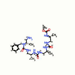 C[C@H](CNC(=O)N(Cc1ccccc1)[C@@H](C)CN)NC(=O)NC[C@H](C)NC(=O)NC[C@@H](C)NC(=O)OC(C)(C)C